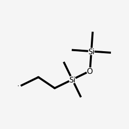 [CH2]CC[Si](C)(C)O[Si](C)(C)C